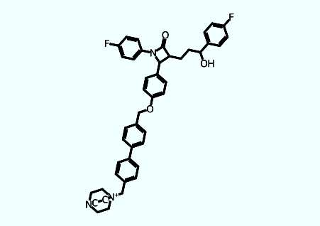 O=C1C(CCC(O)c2ccc(F)cc2)C(c2ccc(OCc3ccc(-c4ccc(C[N+]56CCN(CC5)CC6)cc4)cc3)cc2)N1c1ccc(F)cc1